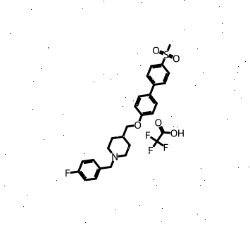 CS(=O)(=O)c1ccc(-c2ccc(OCC3CCN(Cc4ccc(F)cc4)CC3)cc2)cc1.O=C(O)C(F)(F)F